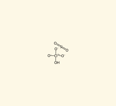 O=[Si]=O.[O-][Cl+3]([O-])([O-])O